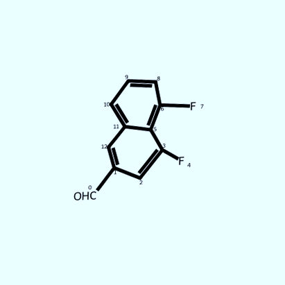 O=Cc1cc(F)c2c(F)cccc2c1